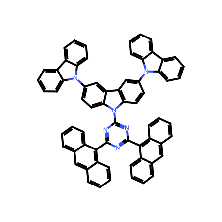 c1ccc2c(-c3nc(-c4c5ccccc5cc5ccccc45)nc(-n4c5ccc(-n6c7ccccc7c7ccccc76)cc5c5cc(-n6c7ccccc7c7ccccc76)ccc54)n3)c3ccccc3cc2c1